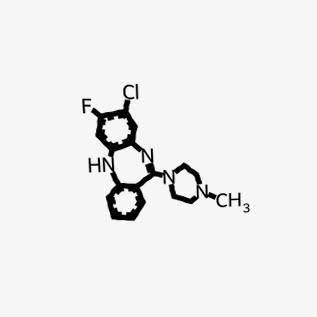 CN1CCN(C2=Nc3cc(Cl)c(F)cc3Nc3ccccc32)CC1